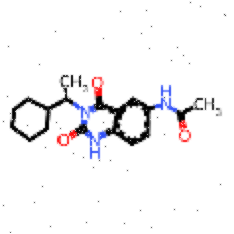 CC(=O)Nc1ccc2[nH]c(=O)n([C@H](C)C3CCCCC3)c(=O)c2c1